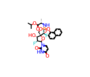 CC(C)OC(=O)[C@H](C)NP(=O)(OC[C@@]1(C(F)F)O[C@@H](n2ccc(=O)[nH]c2=O)[C@@H](F)[C@@H]1O)Oc1cccc2ccccc12